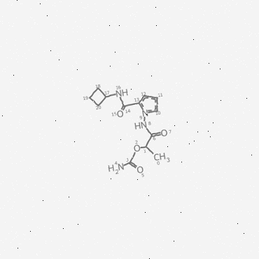 CC(OC(N)=O)C(=O)Nn1cccc1C(=O)NC1CCC1